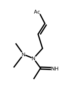 CC(=N)N(C/C=C/C(C)=O)N(C)C